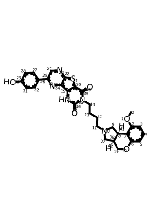 COc1cccc2c1[C@@H]1CN(CCCCn3c(=O)[nH]c4c(sc5ncc(-c6ccc(O)cc6)nc54)c3=O)C[C@@H]1CO2